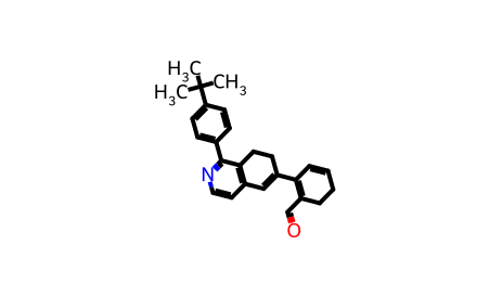 CC(C)(C)c1ccc(-c2nccc3c2CCC(C2=C(C=O)CCC=C2)=C3)cc1